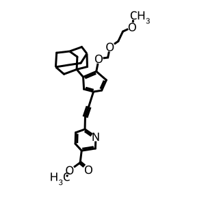 COCCOCOc1ccc(C#Cc2ccc(C(=O)OC)cn2)cc1C12CC3CC(CC(C3)C1)C2